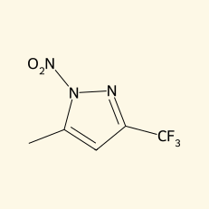 Cc1cc(C(F)(F)F)nn1[N+](=O)[O-]